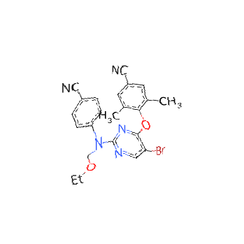 CCOCN(c1ccc(C#N)cc1)c1ncc(Br)c(Oc2c(C)cc(C#N)cc2C)n1